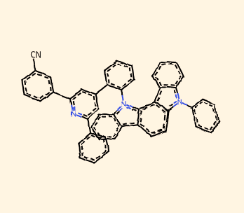 N#Cc1cccc(-c2cc(-c3ccccc3-n3c4ccccc4c4ccc5c(c6ccccc6n5-c5ccccc5)c43)cc(-c3ccccc3)n2)c1